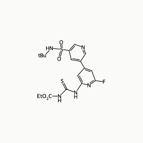 CCOC(=O)NC(=S)Nc1cc(-c2cncc(S(=O)(=O)NC(C)(C)C)c2)cc(F)n1